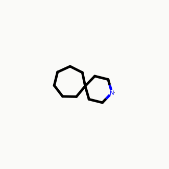 C1CCCC2(CC1)CC[N]CC2